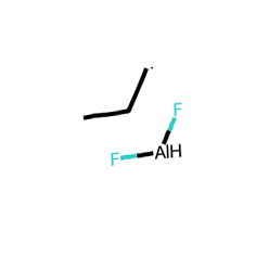 [CH2]CC.[F][AlH][F]